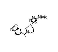 CNc1nnc(N2CCCN(C(C)c3ccc4ncoc4c3)CC2)s1